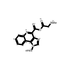 CCCCCCn1cnc2c(C(=O)OC(=O)CNC)nc3ccccc3c21